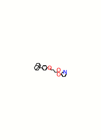 O=C(CCCOc1ccc(C23CC4CC(CC(C4)C2)C3)cc1)Oc1cccnc1